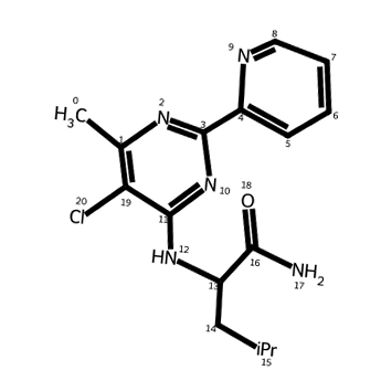 Cc1nc(-c2ccccn2)nc(NC(CC(C)C)C(N)=O)c1Cl